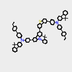 C=Cc1ccc(-c2ccc(N(c3ccc(-c4ccc5sc6ccc(-c7cc8c9c(c7)c7cc(-c%10ccc(N(c%11ccc(-c%12ccc(C=C)cc%12)cc%11)c%11ccc%12c(c%11)C(C)(C)c%11ccccc%11-%12)cc%10)ccc7n9-c7ccccc7C8(C)C)cc6c5c4)cc3)c3ccc4c(c3)C(C)(C)c3ccccc3-4)cc2)cc1